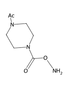 CC(=O)N1CCN(C(=O)ON)CC1